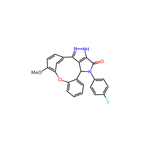 COc1ccc2cc1Oc1ccccc1C1c3c-2n[nH]c3C(=O)N1c1ccc(F)cc1